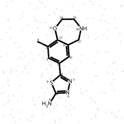 Cc1cc(-c2nnc(N)s2)cc2c1OCCNC2